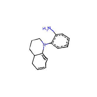 Nc1ccccc1N1CCCC2CC=CC=C21